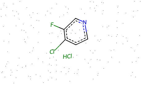 Cl.Fc1cnccc1Cl